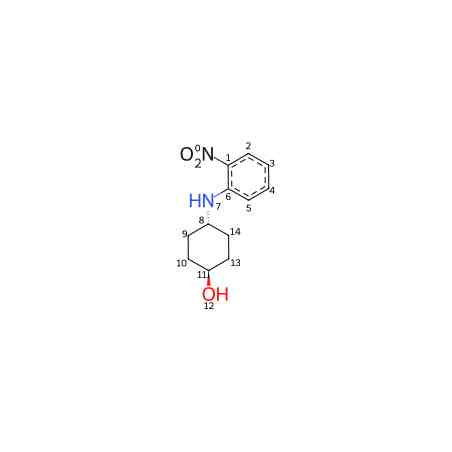 O=[N+]([O-])c1ccccc1N[C@H]1CC[C@H](O)CC1